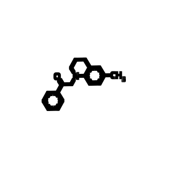 Cc1ccc2c(c1)CCCN2CC(=O)c1ccccc1